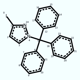 Ic1ccn(C(c2ccccc2)(c2ccccc2)c2ccccc2)n1